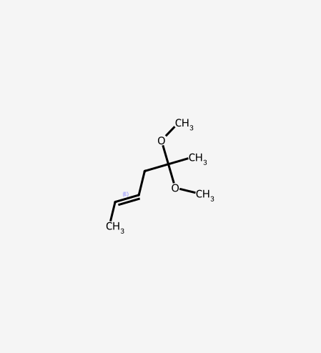 C/C=C/CC(C)(OC)OC